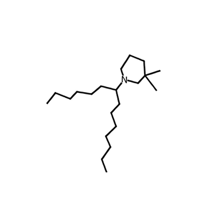 CCCCCCCC(CCCCCC)N1CCCC(C)(C)C1